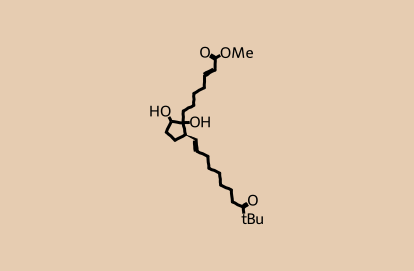 COC(=O)C=CCCCCC1(O)C(O)CC[C@@H]1/C=C/CCCCCCC(=O)C(C)(C)C